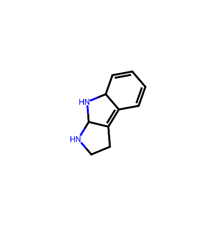 C1=CC2=C3CCNC3NC2C=C1